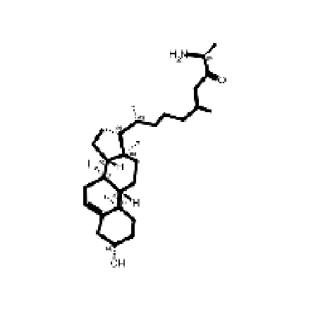 CC(CCC[C@@H](C)[C@H]1CC[C@H]2[C@@H]3CC=C4C[C@@H](O)CC[C@]4(C)[C@H]3CC[C@]12C)CC(=O)[C@H](C)N